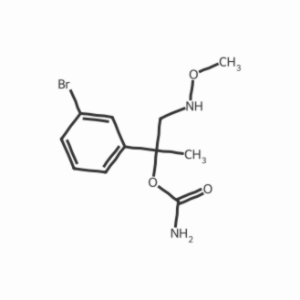 CONCC(C)(OC(N)=O)c1cccc(Br)c1